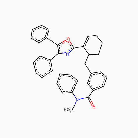 O=C(c1cccc(CC2CCCC=C2c2nc(-c3ccccc3)c(-c3ccccc3)o2)c1)N(c1ccccc1)S(=O)(=O)O